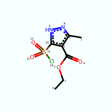 CCOC(=O)c1c(C)n[nH]c1S(=O)(=O)Cl